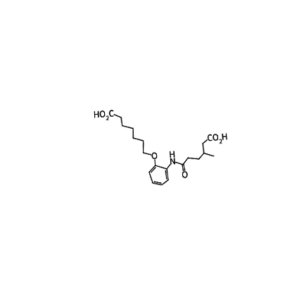 CC(CCC(=O)Nc1ccccc1OCCCCCCC(=O)O)CC(=O)O